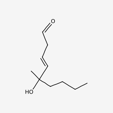 CCCCC(C)(O)C=CCC=O